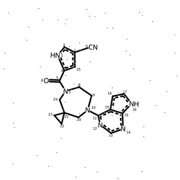 N#Cc1c[nH]c(C(=O)N2CCN(c3ncnc4[nH]ccc34)CC3(CC3)C2)c1